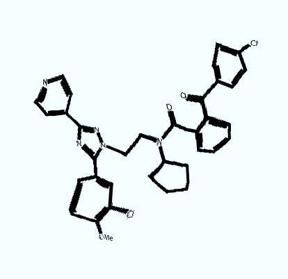 COc1ccc(-c2nc(-c3ccncc3)nn2CCN(C(=O)c2ccccc2C(=O)c2ccc(Cl)cc2)C2CCCC2)cc1Cl